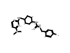 CN(C)c1ccnc(NC2CCC(NC(=O)NCc3ccc(F)cc3)CC2)n1